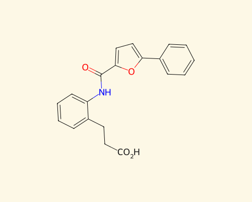 O=C(O)CCc1ccccc1NC(=O)c1ccc(-c2ccccc2)o1